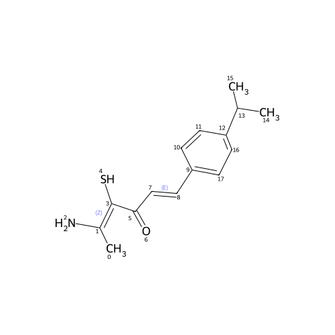 C/C(N)=C(/S)C(=O)/C=C/c1ccc(C(C)C)cc1